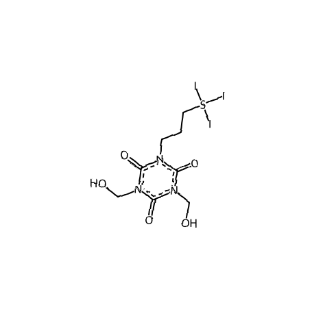 O=c1n(CO)c(=O)n(CCCS(I)(I)I)c(=O)n1CO